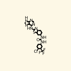 O=C(Nc1ccc(Cl)c(C(F)(F)F)c1)Nc1ccc2nc(Nc3ncnc4[nH]cnc34)sc2c1